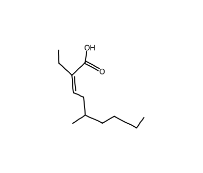 CCCCC(C)CC=C(CC)C(=O)O